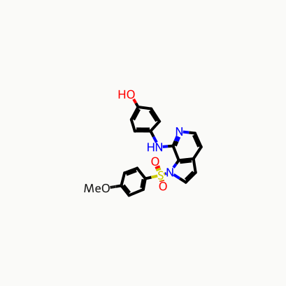 COc1ccc(S(=O)(=O)n2ccc3ccnc(Nc4ccc(O)cc4)c32)cc1